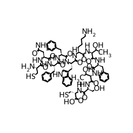 CC(O)[C@H](NC(=O)[C@H](Cc1ccccc1)NC(=O)[C@@H](NC(=O)[C@H](CCCCN)NC(=O)[C@H](Cc1c[nH]c2ccccc12)NC(=O)[C@H](Cc1ccccc1)NC(=O)[C@H](Cc1ccccc1)NC(=O)[C@H](CC(N)=O)NC(=O)[C@@H](N)CS)C(C)O)C(=O)N[C@@H](CO)C(=O)N[C@@H](CS)C(=O)O